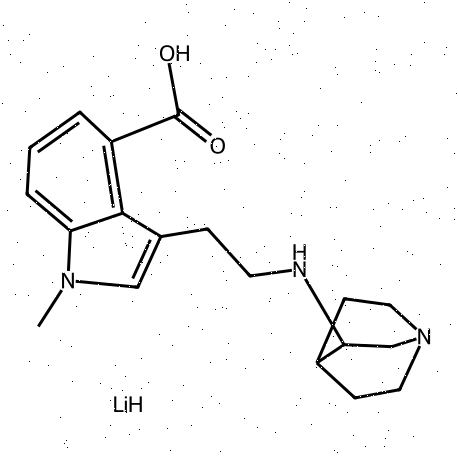 Cn1cc(CCNC2CN3CCC2CC3)c2c(C(=O)O)cccc21.[LiH]